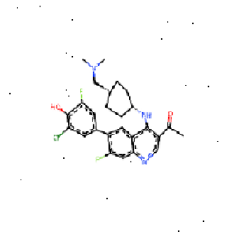 CC(=O)c1cnc2cc(F)c(-c3cc(F)c(O)c(Cl)c3)cc2c1N[C@H]1CC[C@H](CN(C)C)CC1